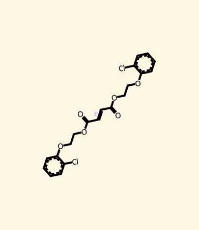 O=C(/C=C/C(=O)OCCOc1ccccc1Cl)OCCOc1ccccc1Cl